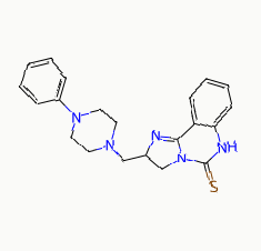 S=C1Nc2ccccc2C2=NC(CN3CCN(c4ccccc4)CC3)CN12